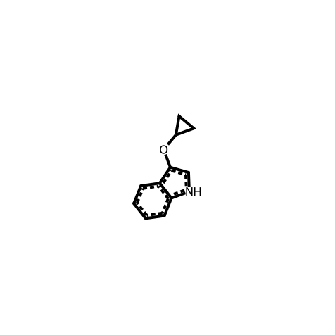 c1ccc2c(OC3CC3)c[nH]c2c1